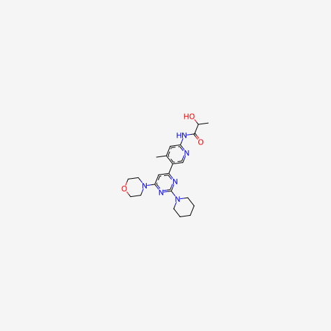 Cc1cc(NC(=O)C(C)O)ncc1-c1cc(N2CCOCC2)nc(N2CCCCC2)n1